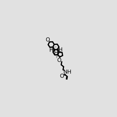 C=CC(=O)NCCCCOC1CC[C@H]2[C@@H]3CCC4CC(=O)CC[C@]4(C)[C@@H]3CC[C@]12C